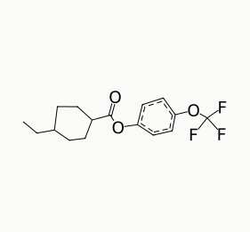 CCC1CCC(C(=O)Oc2ccc(OC(F)(F)F)cc2)CC1